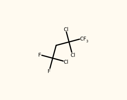 FC(F)(Cl)CC(Cl)(Cl)C(F)(F)F